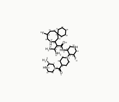 C[C@H]1CN(C(=O)C2CCN(C3C(F)CNCC3NC(=O)C(C(N)N)C3CC4(CCCCC4)CCC(F)CN3)CC2)CCN1